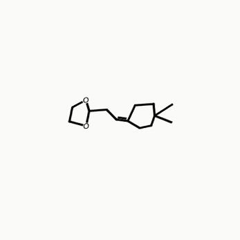 CC1(C)CCC(=CCC2OCCO2)CC1